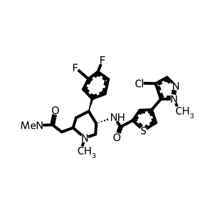 CNC(=O)CC1C[C@@H](c2ccc(F)c(F)c2)[C@H](NC(=O)c2cc(-c3c(Cl)cnn3C)cs2)CN1C